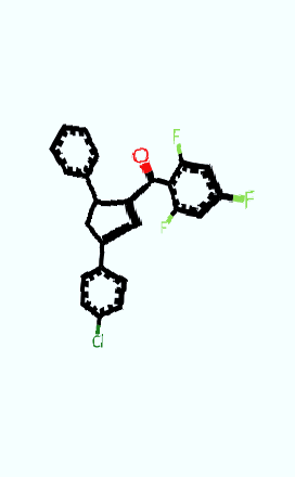 O=C(c1c(F)cc(F)cc1F)C1C=C(c2ccc(Cl)cc2)CC1c1ccccc1